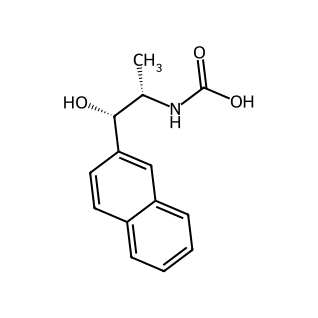 C[C@H](NC(=O)O)[C@@H](O)c1ccc2ccccc2c1